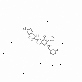 O=C(Nc1ccc(Cl)cc1Cl)N1CCc2nc(NCc3cccc(F)c3)n(-c3ccccc3)c(=O)c2C1